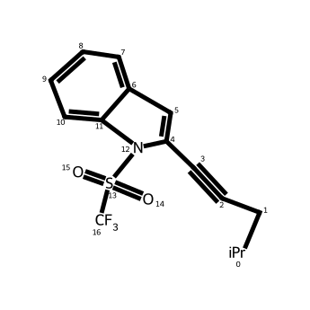 CC(C)CC#Cc1cc2ccccc2n1S(=O)(=O)C(F)(F)F